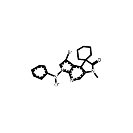 CN1C(=O)C2(CCCCC2)c2c1cnc1c2c(Br)cn1[S+]([O-])c1ccccc1